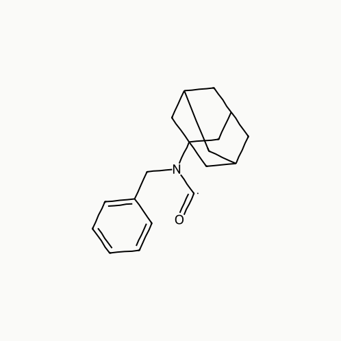 O=[C]N(Cc1ccccc1)C12CC3CC(CC(C3)C1)C2